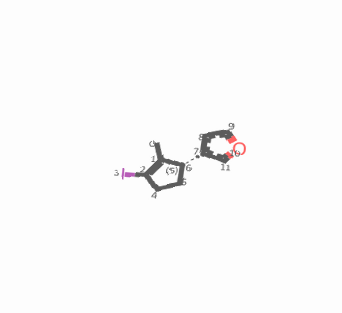 CC1=C(I)CC[C@H]1c1ccoc1